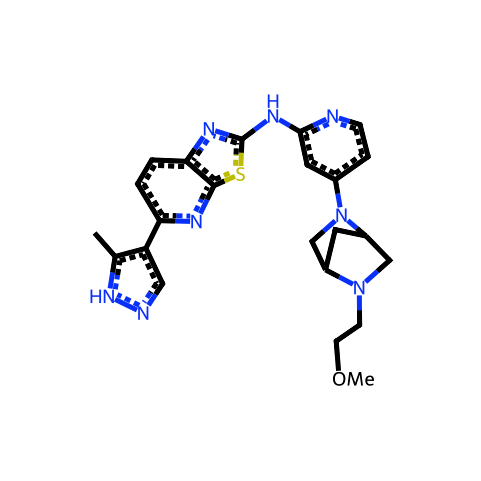 COCCN1CC2CC1CN2c1ccnc(Nc2nc3ccc(-c4cn[nH]c4C)nc3s2)c1